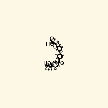 O=C(c1ccc(-c2cccc(OC(=O)C3(O)COC3)c2)cc1)N1CCN(C(=O)C2(O)CC2)CC1